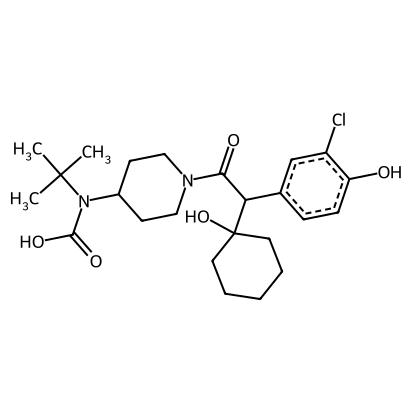 CC(C)(C)N(C(=O)O)C1CCN(C(=O)C(c2ccc(O)c(Cl)c2)C2(O)CCCCC2)CC1